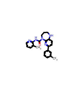 Cc1cccnc1NC(=O)N1CCCNc2ccc(-c3cccc(C(F)(F)F)c3)nc21